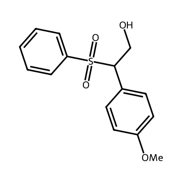 COc1ccc(C(CO)S(=O)(=O)c2ccccc2)cc1